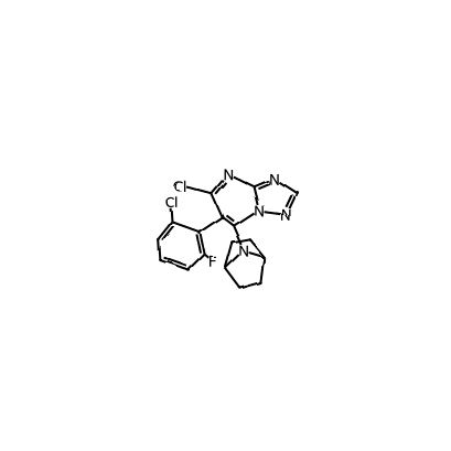 Fc1cccc(Cl)c1-c1c(Cl)nc2ncnn2c1N1C2CCC1CC2